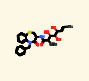 CO[C@@H](C(=O)N[C@H]1CSc2ccccc2N(Cc2ccccc2)C1=O)[C@H](O)[C@@H](O)[C@H](O)C=CC(C)(C)C